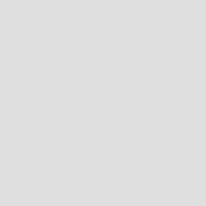 C#CCC/C=C1\CC(=O)c2ccccc21